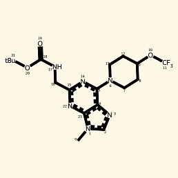 Cn1cnc2c(N3CCC(OC(F)(F)F)CC3)nc(CNC(=O)OC(C)(C)C)nc21